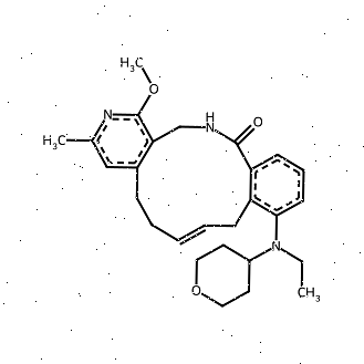 CCN(c1cccc2c1C/C=C/CCc1cc(C)nc(OC)c1CNC2=O)C1CCOCC1